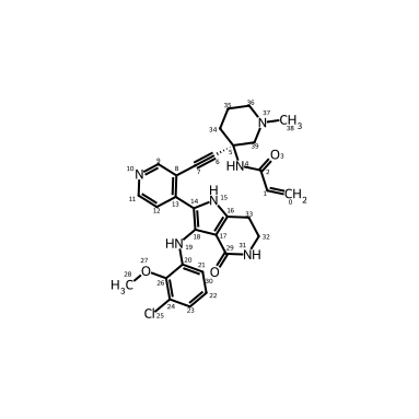 C=CC(=O)N[C@@]1(C#Cc2cnccc2-c2[nH]c3c(c2Nc2cccc(Cl)c2OC)C(=O)NCC3)CCCN(C)C1